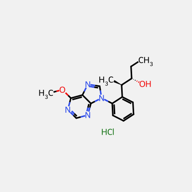 CC[C@H](O)[C@H](C)c1ccccc1-n1cnc2c(OC)ncnc21.Cl